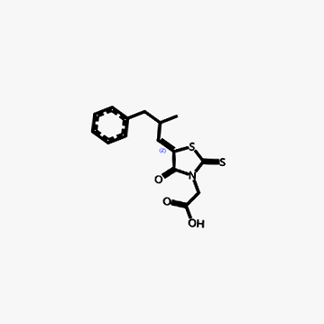 CC(/C=C1\SC(=S)N(CC(=O)O)C1=O)Cc1ccccc1